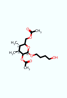 CC(=O)OCC1O[C@@H](OCCCCO)C(OC(C)=O)[C@@H](C)[C@@H]1C